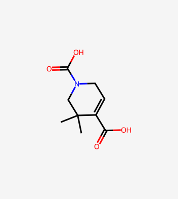 CC1(C)CN(C(=O)O)CC=C1C(=O)O